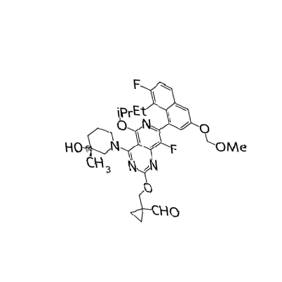 CCc1c(F)ccc2cc(OCOC)cc(-c3nc(OC(C)C)c4c(N5CCC[C@@](C)(O)C5)nc(OCC5(C=O)CC5)nc4c3F)c12